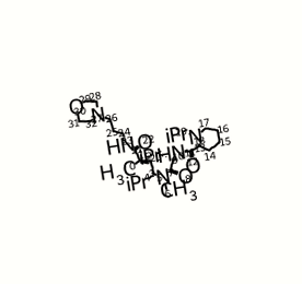 C/C(=C\[C@H](C(C)C)N(C)C(=O)[C@@H](NC(=O)C1CCCCN1C(C)C)C(C)C)C(=O)NCCCN1CCOCC1